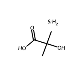 CC(C)(O)C(=O)O.[SrH2]